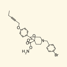 CCC#CCOc1ccc(S(=O)(=O)C2(C(=O)ON)CCN(Cc3ccc(Br)cc3)CC2)cc1